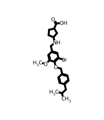 COc1cc(CNC2CCC(C(=O)O)C2)cc(Br)c1OCc1ccc(CC(C)C)cc1